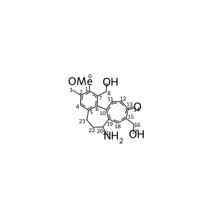 COc1c(C)cc2c(c1CO)-c1ccc(=O)c(CO)cc1C(N)CC2